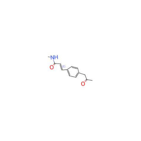 CNC(=O)/C=C/c1ccc(CC(C)=O)cc1